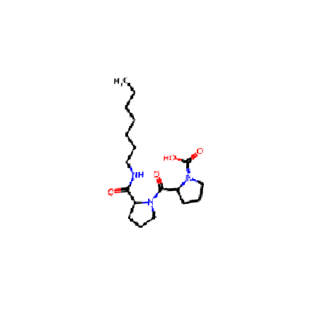 CCCCCCCNC(=O)C1CCCN1C(=O)C1CCCN1C(=O)O